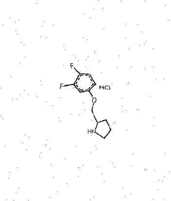 Cl.Fc1ccc(OCC2CCCN2)cc1F